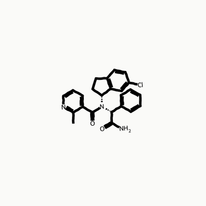 Cc1ncccc1C(=O)N([C@@H]1CCc2ccc(Cl)cc21)[C@@H](C(N)=O)c1ccccc1